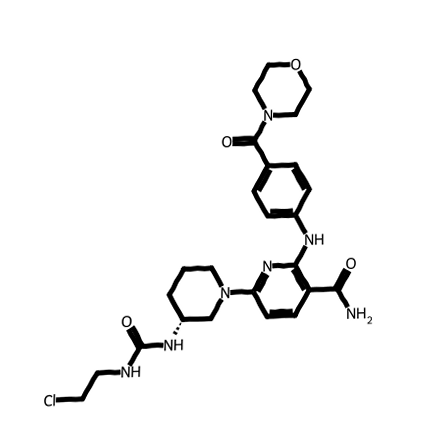 NC(=O)c1ccc(N2CCC[C@@H](NC(=O)NCCCl)C2)nc1Nc1ccc(C(=O)N2CCOCC2)cc1